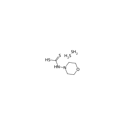 S.S.S=C(S)NN1CCOCC1